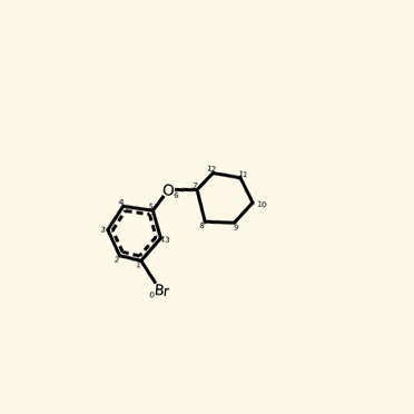 Brc1cccc(OC2CCCCC2)c1